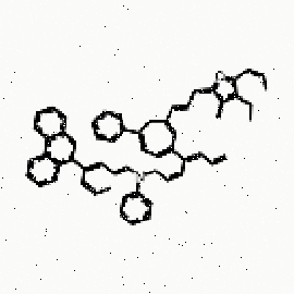 C=C/C=C(\C=C/CN(/C=C/C=C(\C=C/C)c1cc2ccccc2c2ccccc12)c1ccccc1)C1=CC=C(c2ccccc2)CC(/C=C/C=c2/oc(/C=C\C)c(CC)c2=C)=C1